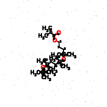 C=C(C)C(=O)OCCC[Si](C)(C)O[Si](C)(C)CC[Si](C)(C)O[Si](C)(C)C